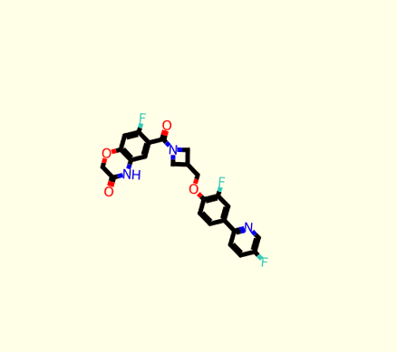 O=C1COc2cc(F)c(C(=O)N3CC(COc4ccc(-c5ccc(F)cn5)cc4F)C3)cc2N1